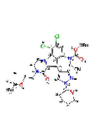 CC(C)(C)OC(=O)N(CC#N)c1cc(Cl)c(Cl)c2c1c(-c1cnn(C3CCCCO3)c1)c1n2CCN(CCO[Si](C)(C)C(C)(C)C)C1=O